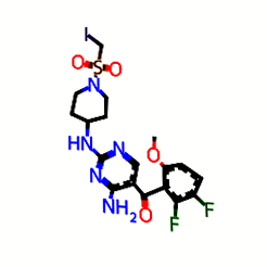 COc1ccc(F)c(F)c1C(=O)c1cnc(NC2CCN(S(=O)(=O)CI)CC2)nc1N